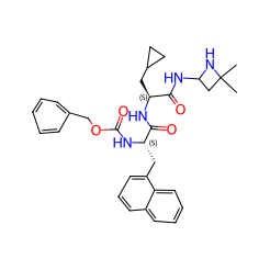 CC1(C)CC(NC(=O)[C@H](CC2CC2)NC(=O)[C@H](Cc2cccc3ccccc23)NC(=O)OCc2ccccc2)N1